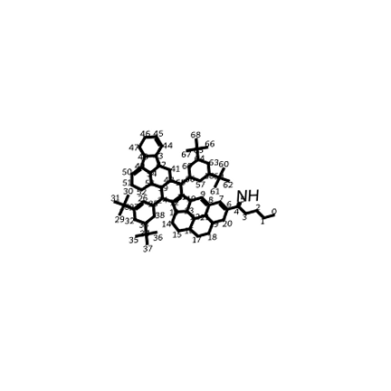 CCCCC(=N)C1=CC2=CC3C4=C(C5CCC6CCC(C1)C2C6C35)C(C1C=C(C(C)(C)C)CC(C(C)(C)C)C1)C1C(CC2C3C=CCCC3C3=CCCC1C32)C4C1CC(C(C)(C)C)CC(C(C)(C)C)C1